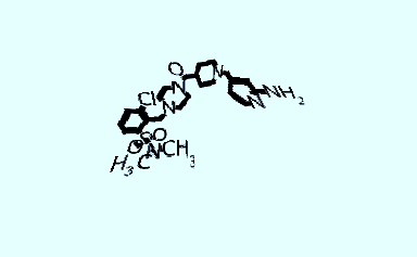 CN(C)S(=O)(=O)c1cccc(Cl)c1CN1CCN(C(=O)C2CCN(Cc3ccnc(N)c3)CC2)CC1